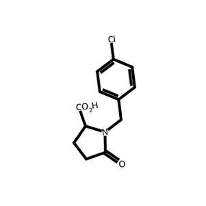 O=C(O)C1CCC(=O)N1Cc1ccc(Cl)cc1